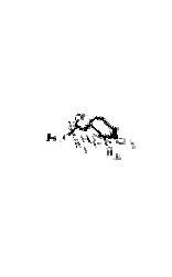 CC(=O)C(C)(C)C(O)CC1CCC=C(C)C1(C)C